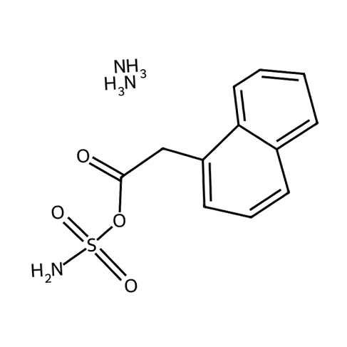 N.N.NS(=O)(=O)OC(=O)Cc1cccc2ccccc12